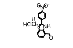 Cl.Cl.O=Cc1cccc2nc(-c3ccc([N+](=O)[O-])cc3)[nH]c12